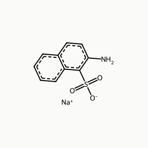 Nc1ccc2ccccc2c1S(=O)(=O)[O-].[Na+]